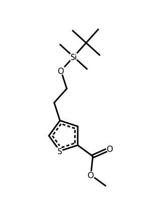 COC(=O)c1cc(CCO[Si](C)(C)C(C)(C)C)cs1